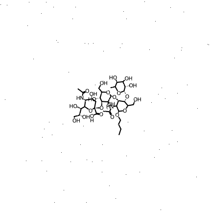 CCCCO[C@@H]1OC(CO)[C@@H](O[C@@H]2OC(C)[C@@H](O)C(O)[C@@H]2O)[C@H](O[C@@H]2OC(CO)[C@@H](O)[C@H](O[C@]3(C(=O)O)C[C@@H](O)[C@@H](NC(C)=O)C([C@H](O)[C@H](O)CO)O3)C2O)C1NC(C)=O